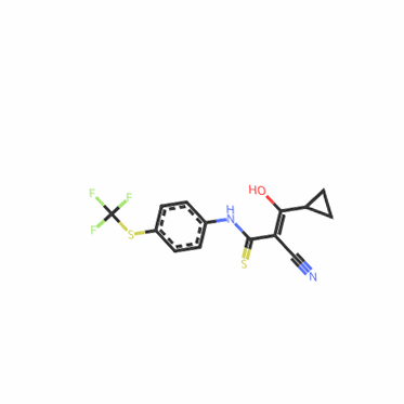 N#CC(C(=S)Nc1ccc(SC(F)(F)F)cc1)=C(O)C1CC1